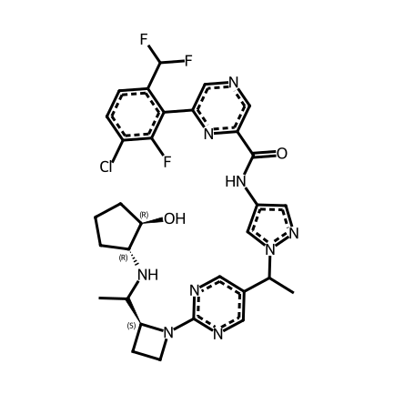 CC(N[C@@H]1CCC[C@H]1O)[C@@H]1CCN1c1ncc(C(C)n2cc(NC(=O)c3cncc(-c4c(C(F)F)ccc(Cl)c4F)n3)cn2)cn1